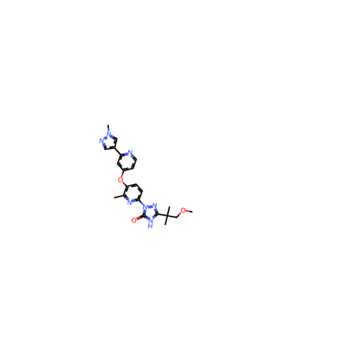 COCC(C)(C)c1nn(-c2ccc(Oc3ccnc(-c4cnn(C)c4)c3)c(C)n2)c(=O)[nH]1